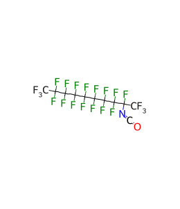 O=C=NC(F)(C(F)(F)F)C(F)(F)C(F)(F)C(F)(F)C(F)(F)C(F)(F)C(F)(F)C(F)(F)C(F)(F)F